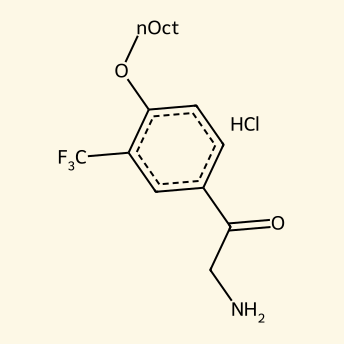 CCCCCCCCOc1ccc(C(=O)CN)cc1C(F)(F)F.Cl